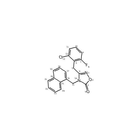 O=c1onc(Cc2c(F)cccc2Cl)n1Cc1cccc2ccccc12